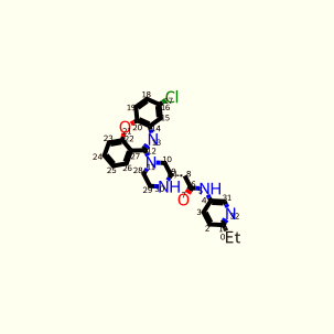 CCc1ccc(NC(=O)C[C@H]2CN(C3=Nc4cc(Cl)ccc4Oc4ccccc43)CCN2)cn1